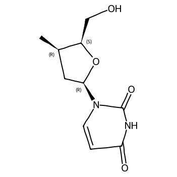 C[C@@H]1C[C@H](n2ccc(=O)[nH]c2=O)O[C@@H]1CO